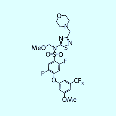 COCN(c1nc(CN2CCOCC2)ns1)S(=O)(=O)c1cc(F)c(Oc2cc(OC)cc(C(F)(F)F)c2)cc1F